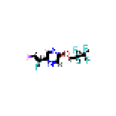 FC(=CI)c1cnc(OCC(F)(F)C(F)F)cn1